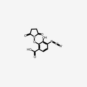 [N-]=[N+]=Nc1ccc(C(=O)O)c(ON2C(=O)CCC2=O)c1O